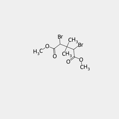 COC(=O)C(Br)C(C)(C)C(Br)C(=O)OC